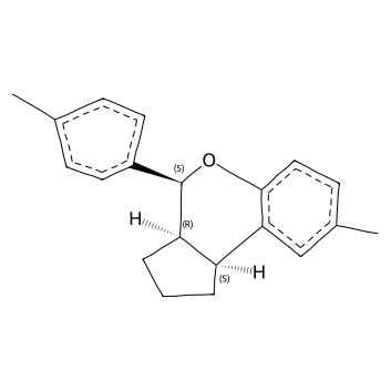 Cc1ccc([C@H]2Oc3ccc(C)cc3[C@H]3CCC[C@H]32)cc1